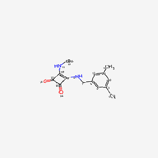 Cc1cc(C#N)cc(CNc2c(NC(C)(C)C)c(=O)c2=O)c1